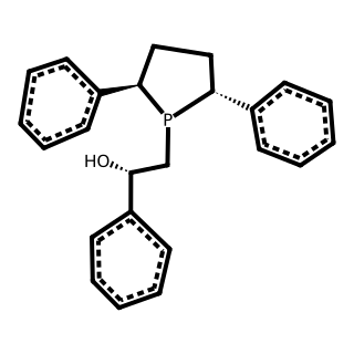 O[C@H](CP1[C@@H](c2ccccc2)CC[C@@H]1c1ccccc1)c1ccccc1